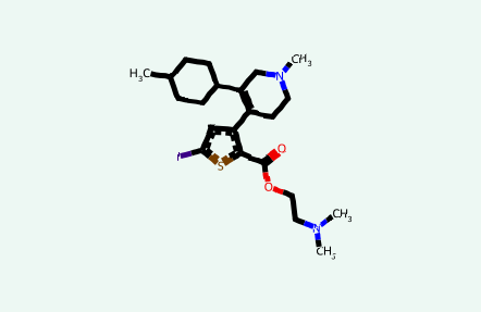 CC1CCC(C2=C(c3cc(I)sc3C(=O)OCCN(C)C)CCN(C)C2)CC1